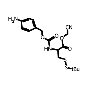 CC(C)(C)SSCC(NC(=O)OCc1ccc(N)cc1)C(=O)OCC#N